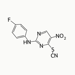 N#CSc1nc(Nc2ccc(F)cc2)ncc1[N+](=O)[O-]